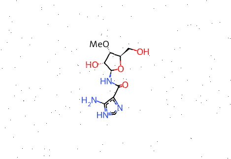 CO[C@H]1[C@@H](O)[C@H](NC(=O)c2nc[nH]c2N)O[C@@H]1CO